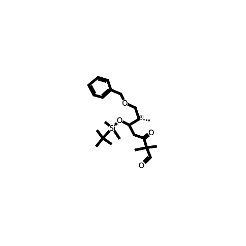 C[C@@H](COCc1ccccc1)C(CC(=O)C(C)(C)C=O)O[Si](C)(C)C(C)(C)C